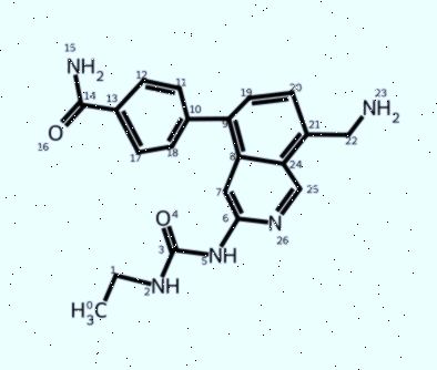 CCNC(=O)Nc1cc2c(-c3ccc(C(N)=O)cc3)ccc(CN)c2cn1